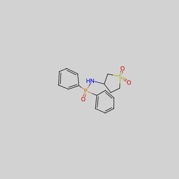 O=P(NC1CCS(=O)(=O)C1)(c1ccccc1)c1ccccc1